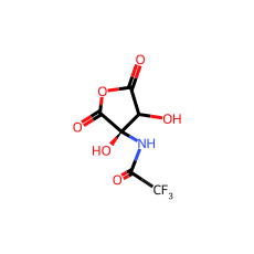 O=C1OC(=O)[C@@](O)(NC(=O)C(F)(F)F)C1O